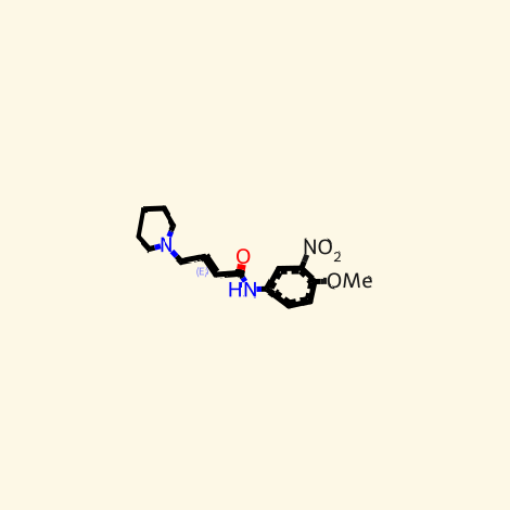 COc1ccc(NC(=O)/C=C/CN2CCCCC2)cc1[N+](=O)[O-]